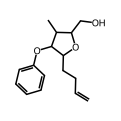 C=CCCC1OC(CO)C(C)C1Oc1ccccc1